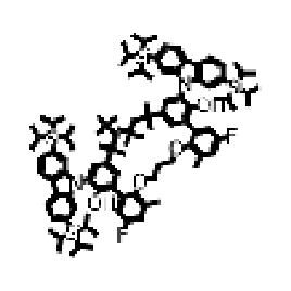 Cc1cc(F)cc(-c2cc(C(C)(C)CC(C)(C)C)cc(-n3c4cc([Si](C(C)C)(C(C)C)C(C)C)ccc4c4ccc([Si](C(C)C)(C(C)C)C(C)C)cc43)c2O)c1OCCCOc1c(C)cc(F)cc1-c1cc(C(C)(C)CC(C)(C)C)cc(-n2c3cc([Si](C(C)C)(C(C)C)C(C)C)ccc3c3ccc([Si](C(C)C)(C(C)C)C(C)C)cc32)c1O